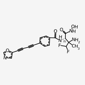 CC(N)(C(F)F)[C@H](NC(=O)c1ccc(C#CC#Cc2cnco2)cc1)C(=O)NO